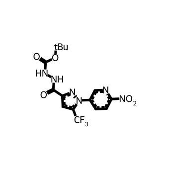 CC(C)(C)OC(=O)NNC(=O)c1cc(C(F)(F)F)n(-c2ccc([N+](=O)[O-])nc2)n1